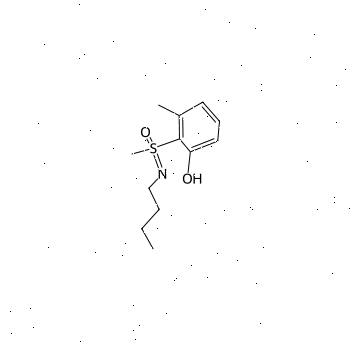 CCCCN=S(C)(=O)c1c(C)cccc1O